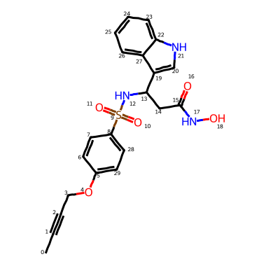 CC#CCOc1ccc(S(=O)(=O)NC(CC(=O)NO)c2c[nH]c3ccccc23)cc1